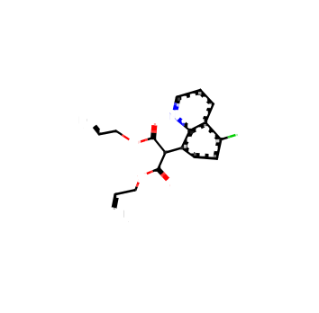 C=CCOC(=O)C(C(=O)OCC=C)c1ccc(Cl)c2cccnc12